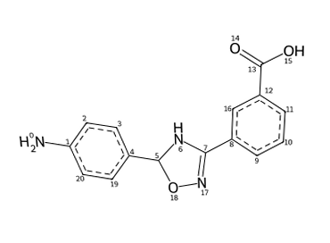 Nc1ccc(C2NC(c3cccc(C(=O)O)c3)=NO2)cc1